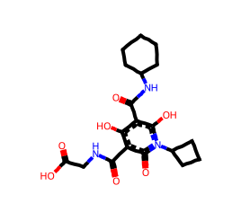 O=C(O)CNC(=O)c1c(O)c(C(=O)NC2CCCCC2)c(O)n(C2CCC2)c1=O